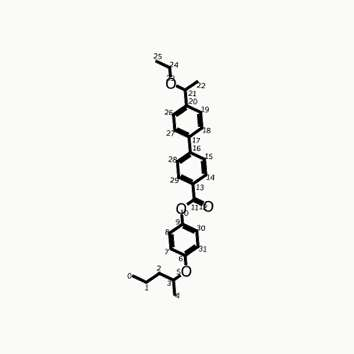 CCCC(C)Oc1ccc(OC(=O)c2ccc(-c3ccc(C(C)OCC)cc3)cc2)cc1